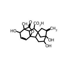 C=C1CC23CC1(O)C(O)CC2C12C=CC(O)C(C)(C(=O)O1)C2C3C(=O)O